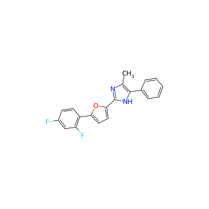 Cc1nc(-c2ccc(-c3ccc(F)cc3F)o2)[nH]c1-c1ccccc1